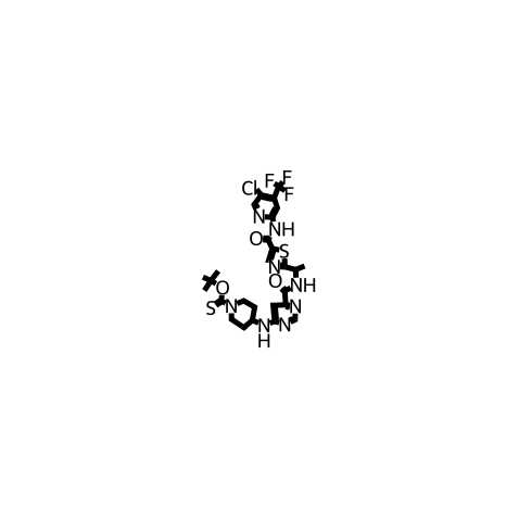 CC(NC(=O)c1cc(NC2CCN(C(=S)OC(C)(C)C)CC2)ncn1)c1ncc(C(=O)Nc2cc(C(F)(F)F)c(Cl)cn2)s1